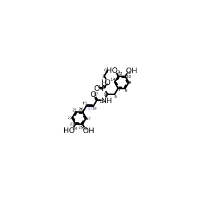 CCO[PH](=O)C(Cc1ccc(O)c(O)c1)NC(=O)/C=C/c1ccc(O)c(O)c1